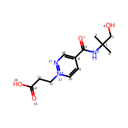 CC(C)(CO)NC(=O)c1cc[n+](CCC(=O)O)nc1